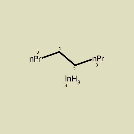 [CH2]CCCCCCC.[InH3]